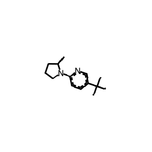 CC1CCCN1c1ccc(C(C)(C)C)cn1